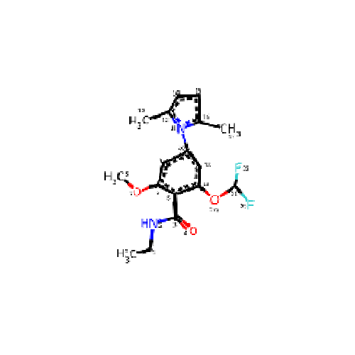 CCNC(=O)c1c(OC)cc(-n2c(C)ccc2C)cc1OC(F)F